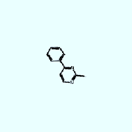 [CH]c1nccc(-c2ccccc2)n1